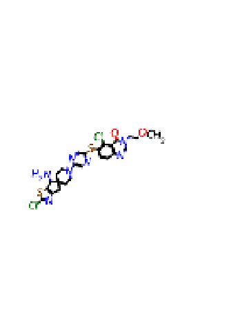 COCCn1cnc2ccc(Sc3cnc(N4CCC5(CC4)Cc4nc(Cl)sc4[C@H]5N)cn3)c(Cl)c2c1=O